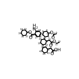 CC(=O)OC1CCCCC1.CCOC(=O)CC1CCCCC1.Nc1ccccc1C(=O)OC1CCCCC1.O=C(O)CC1CCCCC1